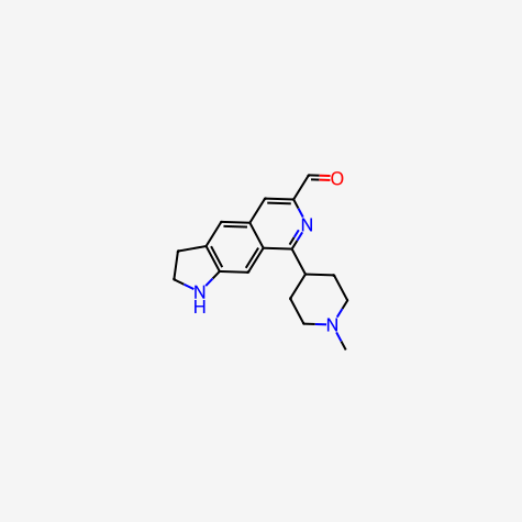 CN1CCC(c2nc(C=O)cc3cc4c(cc23)NCC4)CC1